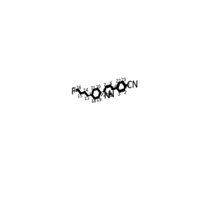 N#Cc1ccc(-c2ccc([C@H]3CC[C@H](CCCCF)CC3)nn2)cc1